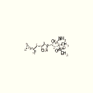 CC(CCc1cc(/C=C(\F)C2CC2)on1)(C(N)=O)S(C)(=O)=O